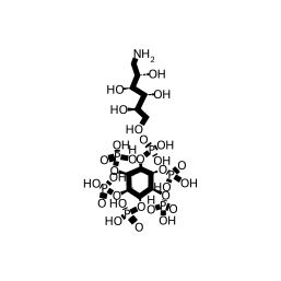 NC[C@H](O)[C@@H](O)[C@H](O)[C@H](O)CO.O=P(O)(O)O[C@H]1[C@H](OP(=O)(O)O)[C@@H](OP(=O)(O)O)[C@H](OP(=O)(O)O)[C@@H](OP(=O)(O)O)[C@H]1OP(=O)(O)O